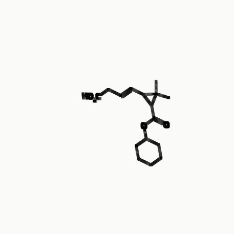 CC1(C)C(C=CCC(=O)O)C1C(=O)OC1CCCCC1